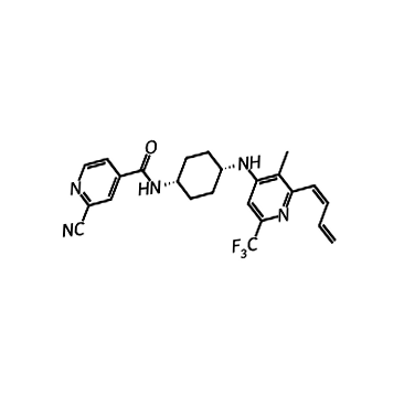 C=C/C=C\c1nc(C(F)(F)F)cc(N[C@H]2CC[C@@H](NC(=O)c3ccnc(C#N)c3)CC2)c1C